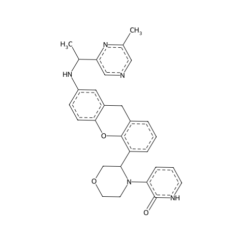 Cc1cncc(C(C)Nc2ccc3c(c2)Cc2cccc(C4COCCN4c4ccc[nH]c4=O)c2O3)n1